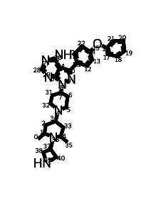 CC1CC(N2CCC(n3nc(-c4ccc(Oc5ccccc5)cc4)c4c(N)ncnc43)CC2)CC(C)N1C1CNC1